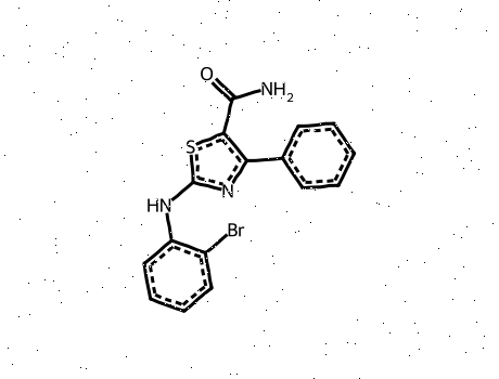 NC(=O)c1sc(Nc2ccccc2Br)nc1-c1ccccc1